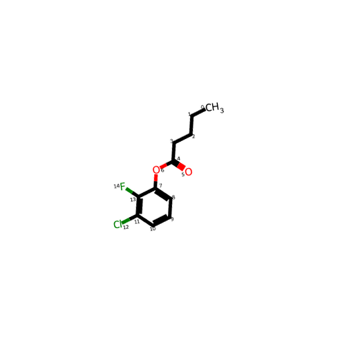 CCCCC(=O)Oc1cccc(Cl)c1F